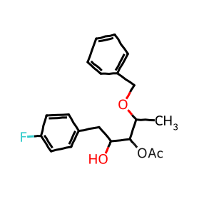 CC(=O)OC(C(O)Cc1ccc(F)cc1)C(C)OCc1ccccc1